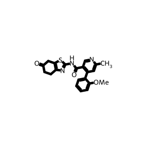 COc1ccccc1-c1cc(C)ncc1C(=O)Nc1nc2c(s1)CC(=O)CC2